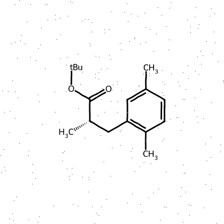 Cc1ccc(C)c(C[C@H](C)C(=O)OC(C)(C)C)c1